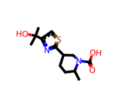 CC1CCC(c2nc(C(C)(C)O)cs2)CN1C(=O)O